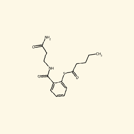 CCCCC(=O)Sc1ccccc1C(=O)NCCC(N)=O